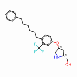 OC[C@H]1C[C@H](Oc2ccc(CCCCCCc3ccccc3)c(C(F)(F)F)c2)CN1